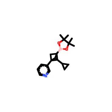 CC1(C)OB(C23CC(c4cccnc4)(C2)C3C2CC2)OC1(C)C